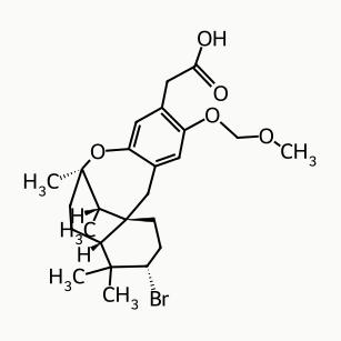 COCOc1cc2c(cc1CC(=O)O)O[C@]1(C)CC[C@H]3C(C)(C)[C@@H](Br)CC[C@]3(C2)[C@@H]1C